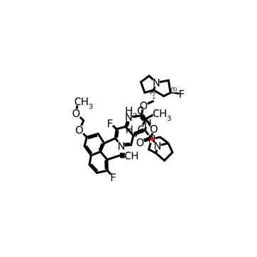 C#Cc1c(F)ccc2cc(OCOC)cc(-c3ncc4c(N5CC6CCC(C5)N6C(=O)OC(C)(C)C)nc(OC[C@]56CCCN5C[C@@H](F)C6)nc4c3F)c12